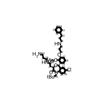 COc1c(OCCCNCCCc2ccccc2)cccc1[C@H]1O[C@H](CC(=O)NCCCN)C(=O)N(CC(C)(C)C)c2ccc(Cl)cc21